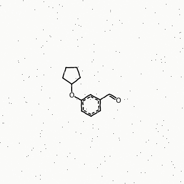 O=Cc1cccc(OC2CCCC2)c1